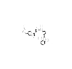 COCCN(C)Cc1ccn2c(-c3cnc(Nc4ccc(C(=O)Nc5ccccc5N)s4)s3)cnc2c1